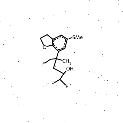 CSc1cc2c(c(C(C)(CF)CC(O)C(F)F)c1)OCC2